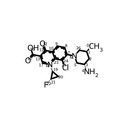 C[C@H]1C[C@H](N)CN(c2ccc3c(=O)c(C(=O)O)cn([C@@H]4C[C@@H]4F)c3c2Cl)C1